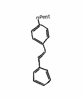 CCCCCc1ccc(/C=C/c2ccccc2)cc1